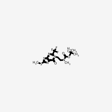 CSc1nc2c(=O)n(CCN(C)C(=O)OC(C)(C)C)c(C(F)(F)F)nc2s1